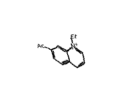 CC[n+]1cccc2ccc(C(C)=O)cc21